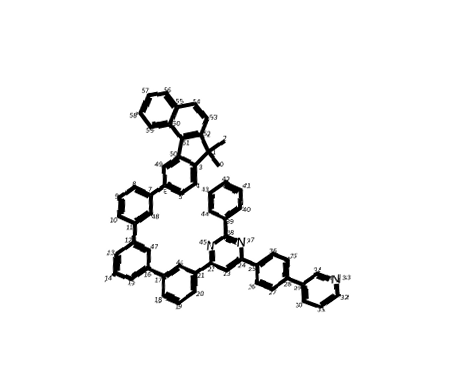 CC1(C)c2ccc(-c3cccc(-c4cccc(-c5cccc(-c6cc(-c7ccc(-c8cccnc8)cc7)nc(-c7ccccc7)n6)c5)c4)c3)cc2-c2c1ccc1ccccc21